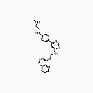 CNCCNc1ccc(-c2cc(NCCc3ccnc4cccnc34)ncn2)cn1